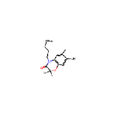 CCC1(C)Oc2cc(C#N)c(C)cc2N(CCCOC)C1=O